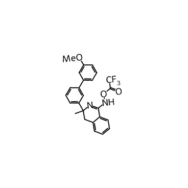 COc1cccc(-c2cccc(C3(C)Cc4ccccc4C(NOC(=O)C(F)(F)F)=N3)c2)c1